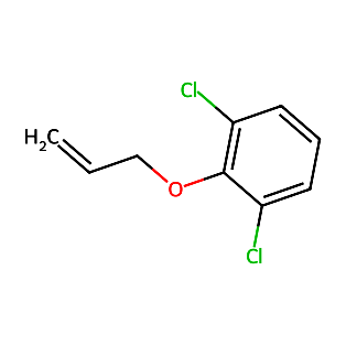 C=CCOc1c(Cl)cccc1Cl